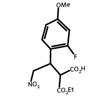 CCOC(=O)C(C(=O)O)C(C[N+](=O)[O-])c1ccc(OC)cc1F